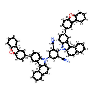 N#Cc1cc(-n2c3ccc(-c4ccc5oc6ccccc6c5c4)cc3c3c4ccccc4ccc32)cc(C#N)c1-n1c2ccc(-c3ccc4oc5ccccc5c4c3)cc2c2c3ccccc3ccc21